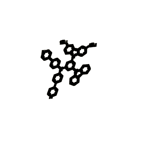 CC(C)(C)c1ccc2c(c1)c1cc(C(C)(C)C)ccc1n2-c1cc(N(c2ccc(-c3ccncc3)cc2)c2ccc(-c3ccncc3)cc2)cc(-n2c3ccccc3c3ccccc32)c1